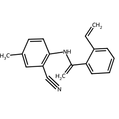 C=Cc1ccccc1C(=C)Nc1ccc(C)cc1C#N